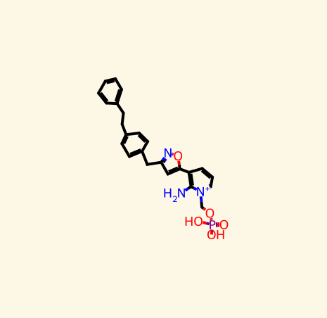 Nc1c(-c2cc(Cc3ccc(CCc4ccccc4)cc3)no2)ccc[n+]1COP(=O)(O)O